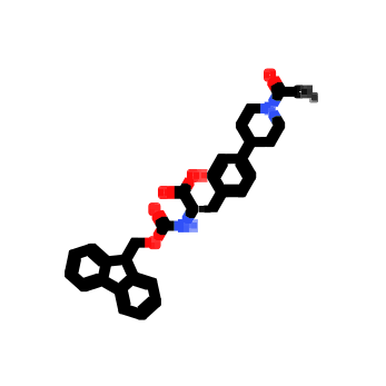 CC(=O)N1CCC(c2ccc(C[C@H](NC(=O)OCC3c4ccccc4-c4ccccc43)C(=O)O)cc2)CC1